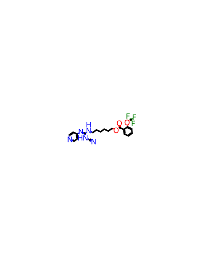 N#CNC(=Nc1ccncc1)NCCCCCCOC(=O)c1ccccc1OC(F)(F)F